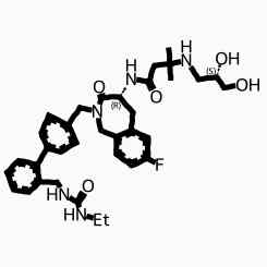 CCNC(=O)NCc1ccccc1-c1ccc(CN2Cc3ccc(F)cc3C[C@@H](NC(=O)CC(C)(C)NC[C@H](O)CO)C2=O)cc1